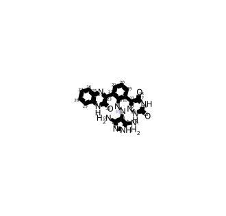 Nc1n[nH]c(N)c1/N=N/c1c(-c2n[nH]c(=O)[nH]c2=O)cccc1-c1nc2ccccc2[nH]c1=O